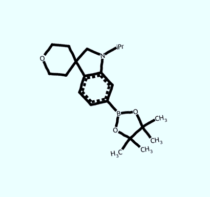 CC(C)N1CC2(CCOCC2)c2ccc(B3OC(C)(C)C(C)(C)O3)cc21